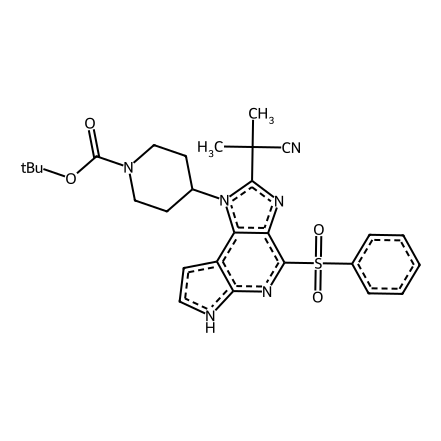 CC(C)(C)OC(=O)N1CCC(n2c(C(C)(C)C#N)nc3c(S(=O)(=O)c4ccccc4)nc4[nH]ccc4c32)CC1